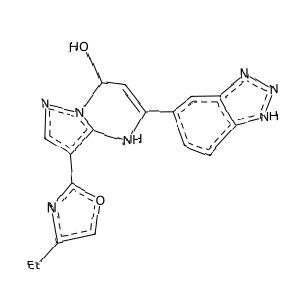 CCc1coc(-c2cnn3c2NC(c2ccc4[nH]nnc4c2)=CC3O)n1